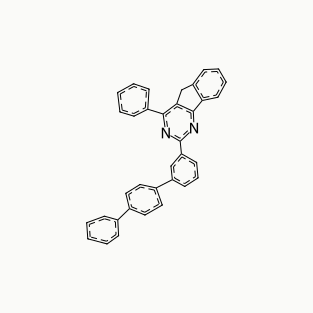 c1ccc(-c2ccc(-c3cccc(-c4nc(-c5ccccc5)c5c(n4)-c4ccccc4C5)c3)cc2)cc1